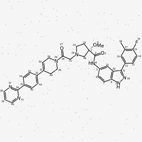 CO[C@@]1(C(=O)Nc2ccc3[nH]nc(-c4ccc(F)c(C)c4)c3c2)CCN(CC(=O)N2CC=C(c3ccc(-c4ncccn4)cc3)CC2)C1